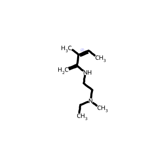 C=C(NCCN(C)CC)/C(C)=C\C